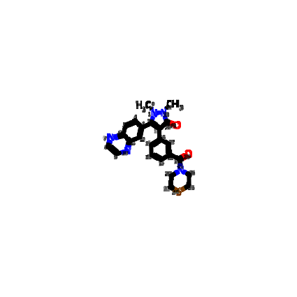 Cn1c(-c2ccc3nccnc3c2)c(-c2cccc(C(=O)N3CCSCC3)c2)c(=O)n1C